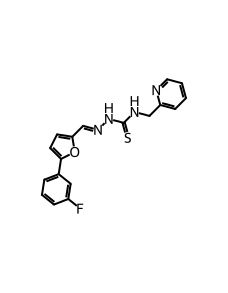 Fc1cccc(-c2ccc(C=NNC(=S)NCc3ccccn3)o2)c1